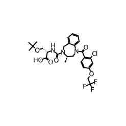 C[C@@H]1CN(C(=O)c2ccc(OCC(F)(F)F)cc2Cl)c2ccccc2CN1C(=O)N[C@@H](COC(C)(C)C)C(=O)O